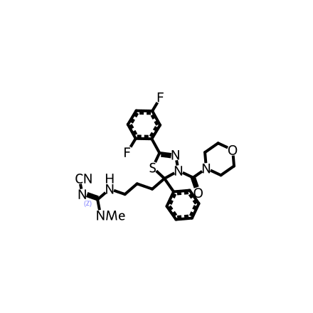 CN/C(=N/C#N)NCCCC1(c2ccccc2)SC(c2cc(F)ccc2F)=NN1C(=O)N1CCOCC1